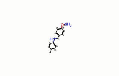 Cc1ccc(NCc2ccc(ON)cc2)cc1